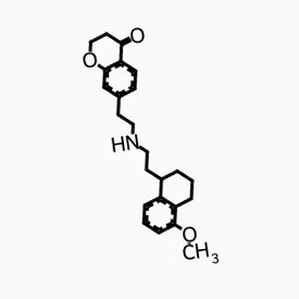 COc1cccc2c1CCCC2CCNCCc1ccc2c(c1)OCCC2=O